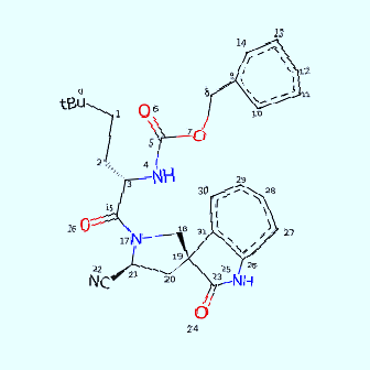 CC(C)(C)CC[C@H](NC(=O)OCc1ccccc1)C(=O)N1C[C@]2(C[C@H]1C#N)C(=O)Nc1ccccc12